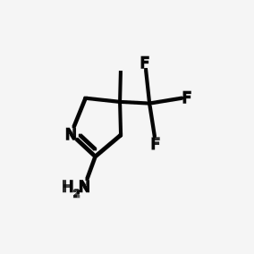 CC1(C(F)(F)F)CN=C(N)C1